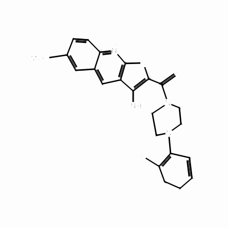 COc1ccc2nc3sc(C(=O)N4CCN(C5=C(F)CCC=C5)CC4)c(N)c3cc2c1